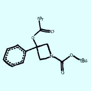 CCCC(=O)OC1(c2ccccc2)CN(C(=O)OC(C)(C)C)C1